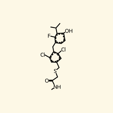 CNC(=O)CSCc1cc(Cl)c(Cc2ccc(O)c(C(C)C)c2F)c(Cl)c1